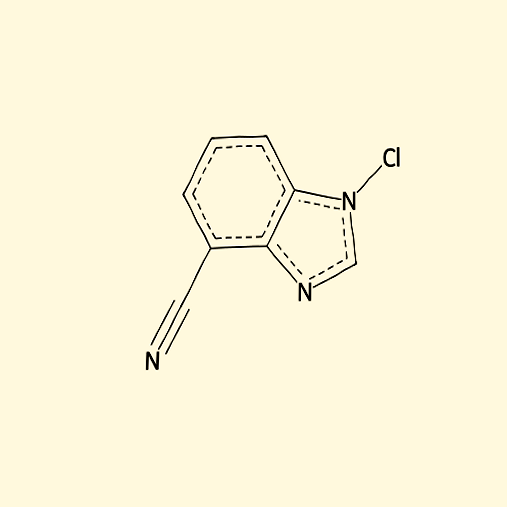 N#Cc1cccc2c1ncn2Cl